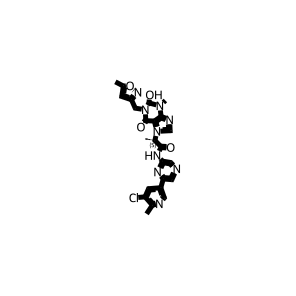 Cc1cc(CN2C(=O)c3c(ncn3[C@@H](C)C(=O)Nc3cncc(-c4cnc(C)c(Cl)c4)n3)N(C)C2O)no1